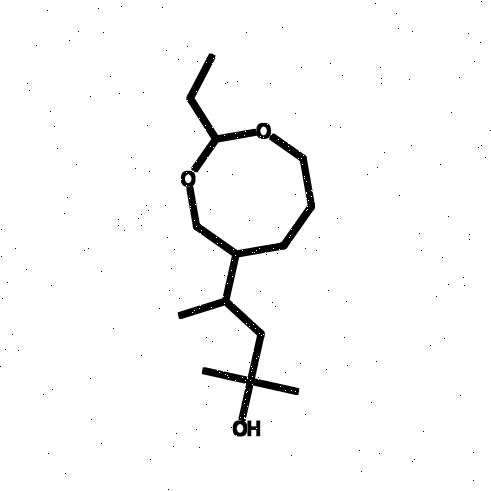 CCC1OCCCC(C(C)CC(C)(C)O)CO1